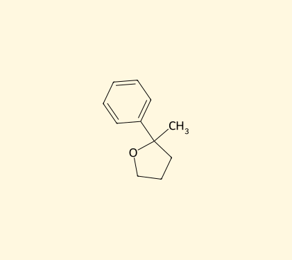 CC1(c2ccccc2)CCCO1